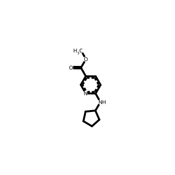 COC(=O)c1ccc(NC2CCCC2)nc1